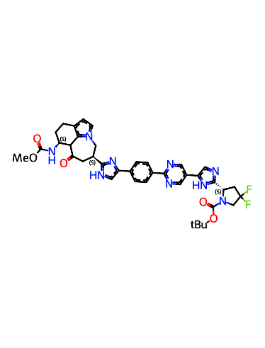 COC(=O)N[C@H]1CCc2ccn3c2C1C(=O)C[C@H](c1nc(-c2ccc(-c4ncc(-c5cnc([C@@H]6CC(F)(F)CN6C(=O)OC(C)(C)C)[nH]5)cn4)cc2)c[nH]1)C3